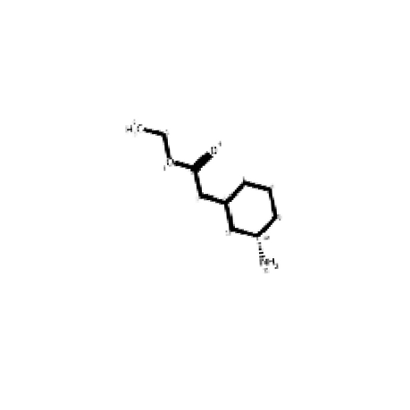 CCOC(=O)CC1CCC[C@H](N)C1